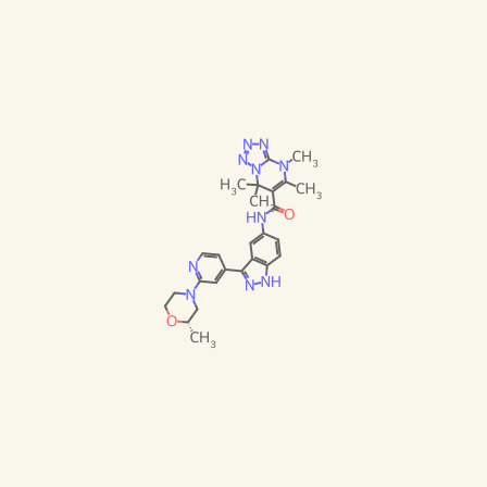 CC1=C(C(=O)Nc2ccc3[nH]nc(-c4ccnc(N5CCO[C@@H](C)C5)c4)c3c2)C(C)(C)n2nnnc2N1C